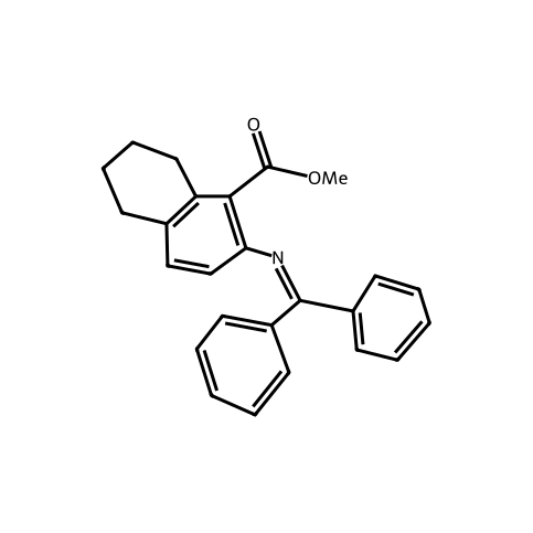 COC(=O)c1c(N=C(c2ccccc2)c2ccccc2)ccc2c1CCCC2